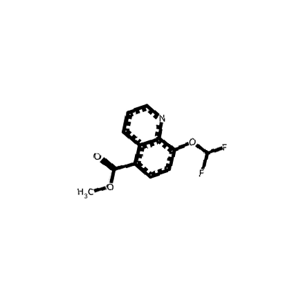 COC(=O)c1ccc(OC(F)F)c2ncccc12